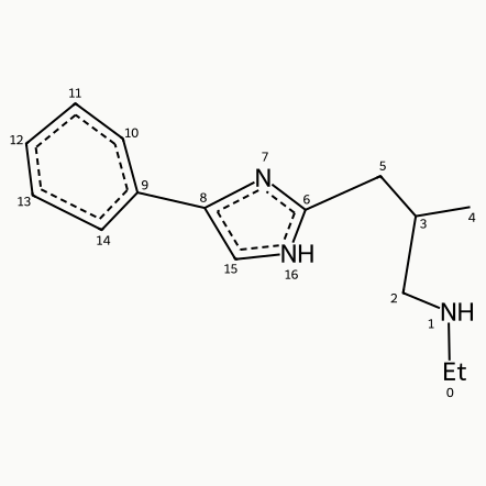 CCNCC(C)Cc1nc(-c2ccccc2)c[nH]1